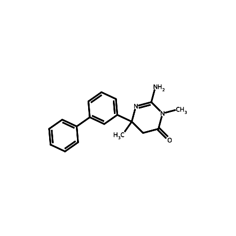 CN1C(=O)CC(C)(c2cccc(-c3ccccc3)c2)N=C1N